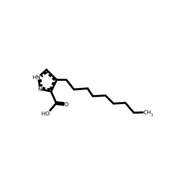 CCCCCCCCCc1c[nH]nc1C(=O)O